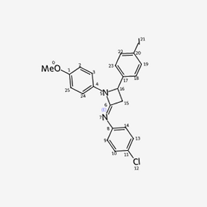 COc1ccc(N2/C(=N/c3ccc(Cl)cc3)CC2c2ccc(I)cc2)cc1